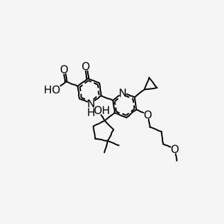 COCCCOc1cc(C2(O)CCC(C)(C)C2)c(-c2cc(=O)c(C(=O)O)c[nH]2)nc1C1CC1